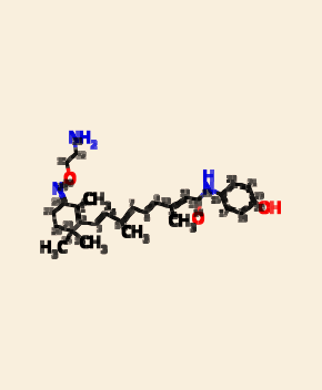 CC1=C(/C=C/C(C)=C/C=C/C(C)=C/C(=O)Nc2ccc(O)cc2)C(C)(C)CC/C1=N/OCCN